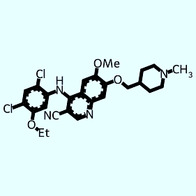 CCOc1cc(Nc2c(C#N)cnc3cc(OCC4CCN(C)CC4)c(OC)cc23)c(Cl)cc1Cl